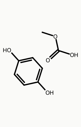 COC(=O)O.Oc1ccc(O)cc1